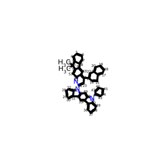 CC1(C)c2ccccc2-c2cc3c(-c4ccc5ccccc5c4)cc(-n4c5ccccc5c5cc6c7ccccc7n(-c7ccccc7)c6cc54)nc3cc21